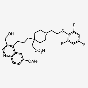 COc1ccc2ncc(CO)c(CCCC3(CC(=O)O)CCN(CCSc4c(F)cc(F)cc4F)CC3)c2c1